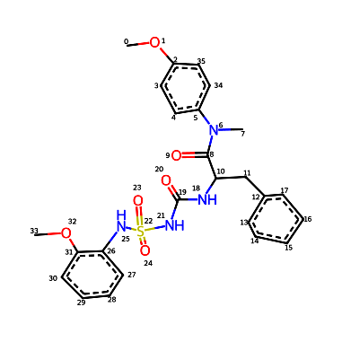 COc1ccc(N(C)C(=O)C(Cc2ccccc2)NC(=O)NS(=O)(=O)Nc2ccccc2OC)cc1